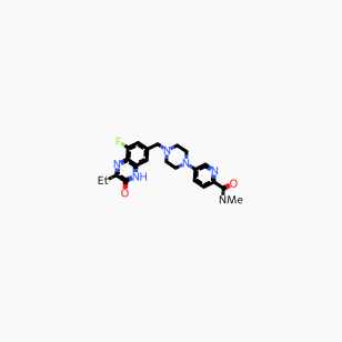 CCc1nc2c(F)cc(CN3CCN(c4ccc(C(=O)NC)nc4)CC3)cc2[nH]c1=O